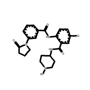 CC(C)N1CCC(NC(=O)c2cc(Cl)ccc2NC(=O)c2cccc(N3CCCC3=O)c2)CC1